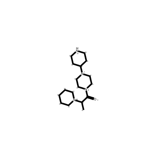 CC(C(=O)N1CCN(C2CCNCC2)CC1)N1CC[CH]CC1